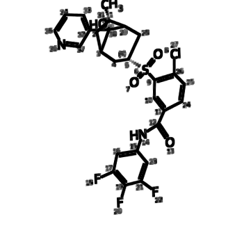 C[C@H]1CC2C[C@@H](S(=O)(=O)c3cc(C(=O)Nc4cc(F)c(F)c(F)c4)ccc3Cl)CC1[C@@]2(O)c1cccnc1